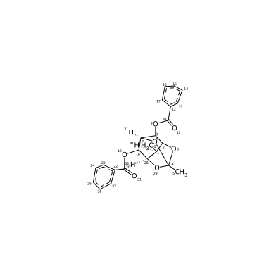 C[C@H]1C2OC3(C)O[C@H](C2OC(=O)c2ccccc2)C(OC(=O)c2ccccc2)[C@@H]1O3